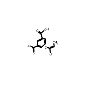 CC=C(Cl)Cl.O=C(O)c1cccc(C(O)=S)c1